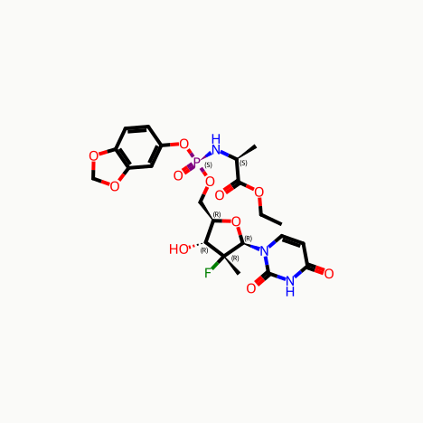 CCOC(=O)[C@H](C)N[P@](=O)(OC[C@H]1O[C@@H](n2ccc(=O)[nH]c2=O)[C@](C)(F)[C@@H]1O)Oc1ccc2c(c1)OCO2